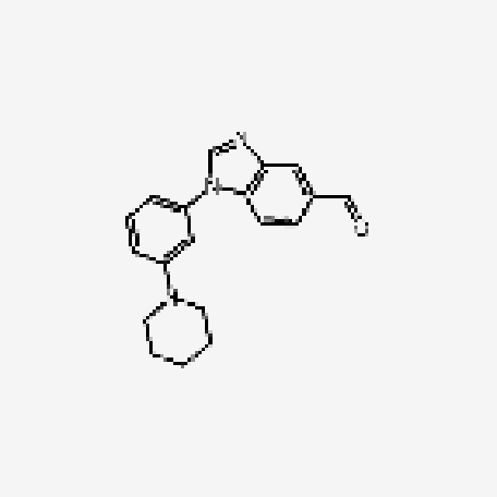 O=Cc1ccc2c(c1)ncn2-c1cccc(N2CCCCC2)c1